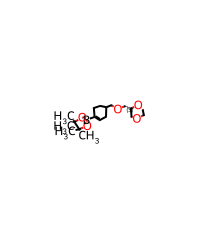 CC1(C)OB(C2=CCC(COC[C@H]3COCCO3)CC2)OC1(C)C